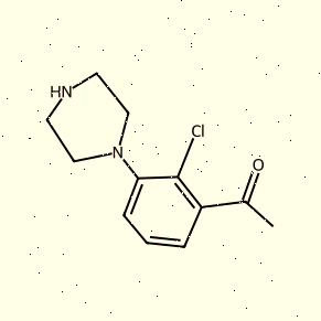 CC(=O)c1cccc(N2CCNCC2)c1Cl